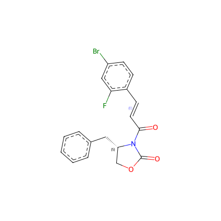 O=C(/C=C/c1ccc(Br)cc1F)N1C(=O)OC[C@@H]1Cc1ccccc1